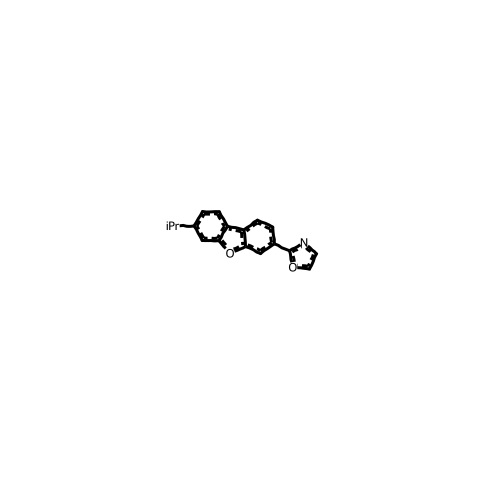 CC(C)c1ccc2c(c1)oc1cc(-c3ncco3)ccc12